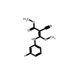 COC(=O)C(C#N)=C(Nc1cccc(F)c1)SC